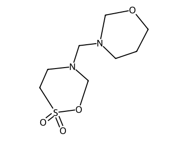 O=S1(=O)CCN(CN2CCCOC2)CO1